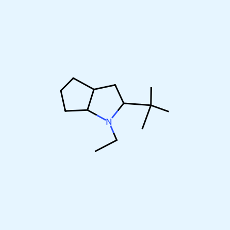 CCN1C2CCCC2CC1C(C)(C)C